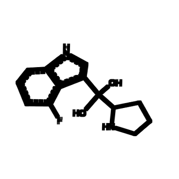 OC(O)(c1c[nH]c2cccc(F)c12)C1CCCN1